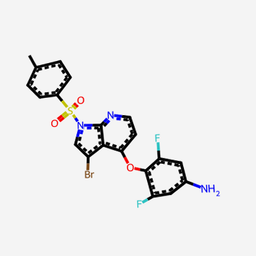 Cc1ccc(S(=O)(=O)n2cc(Br)c3c(Oc4c(F)cc(N)cc4F)ccnc32)cc1